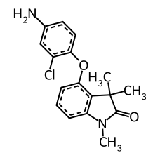 CN1C(=O)C(C)(C)c2c(Oc3ccc(N)cc3Cl)cccc21